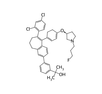 CC(C)(O)c1cccc(-c2ccc3c(c2)CCCC(c2ccc(Cl)cc2Cl)=C3C2=CC=C(O[C@H]3CCN(CCCF)C3)CC2)c1